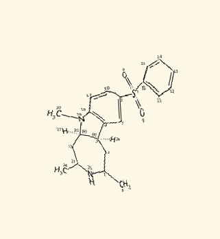 CC1C[C@@H]2c3cc(S(=O)(=O)c4ccccc4)ccc3N(C)[C@@H]2CC(C)N1